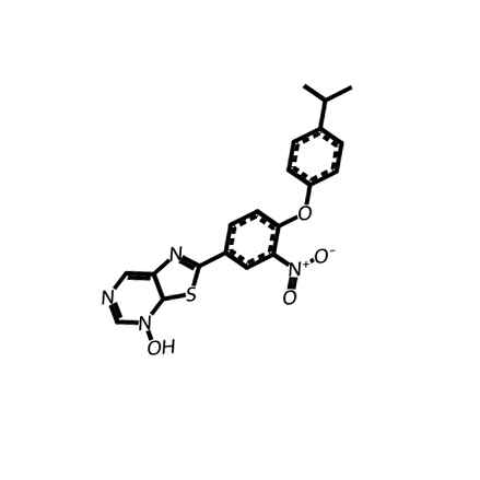 CC(C)c1ccc(Oc2ccc(C3=NC4=CN=CN(O)C4S3)cc2[N+](=O)[O-])cc1